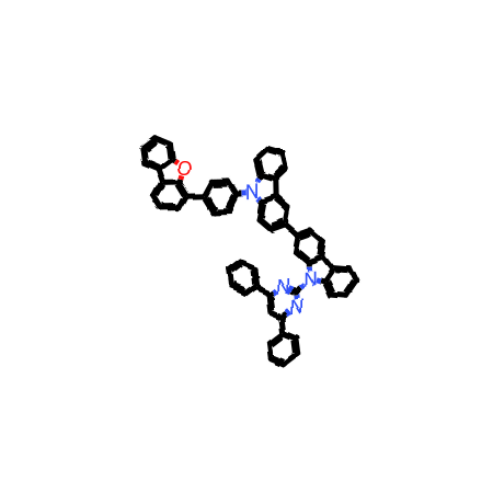 c1ccc(-c2cc(-c3ccccc3)nc(-n3c4ccccc4c4ccc(-c5ccc6c(c5)c5ccccc5n6-c5ccc(-c6cccc7c6oc6ccccc67)cc5)cc43)n2)cc1